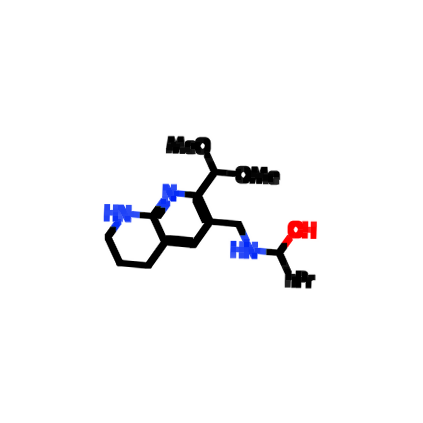 CCCC(O)NCc1cc2c(nc1C(OC)OC)NCCC2